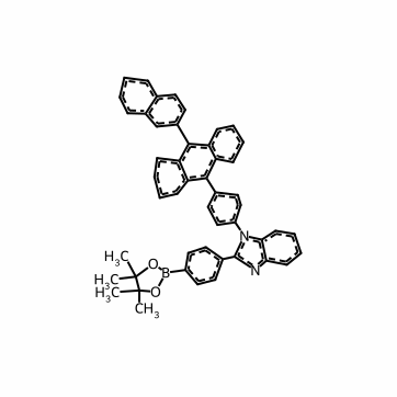 CC1(C)OB(c2ccc(-c3nc4ccccc4n3-c3ccc(-c4c5ccccc5c(-c5ccc6ccccc6c5)c5ccccc45)cc3)cc2)OC1(C)C